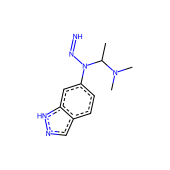 CC(N(C)C)N(N=N)c1ccc2cn[nH]c2c1